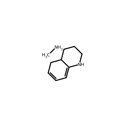 C1=CCC2CCCNC2=C1.CN